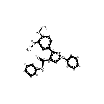 COc1ccc(-c2nn(-c3ccccc3)cc2C(=O)Oc2ccccc2)cc1OC